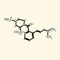 CN(C)CC=Cc1cccnc1C(=O)N1CCN(C(=O)O)CC1C(=O)O